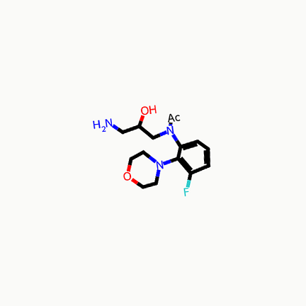 CC(=O)N(CC(O)CN)c1cccc(F)c1N1CCOCC1